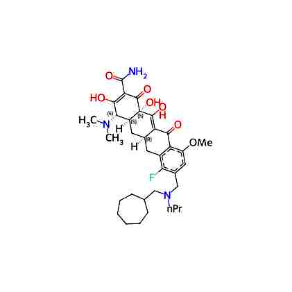 CCCN(Cc1cc(OC)c2c(c1F)C[C@H]1C[C@H]3[C@H](N(C)C)C(O)=C(C(N)=O)C(=O)[C@@]3(O)C(O)=C1C2=O)CC1CCCCCC1